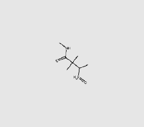 CNC(=O)C(C)(C)C(C)[PH2]=O